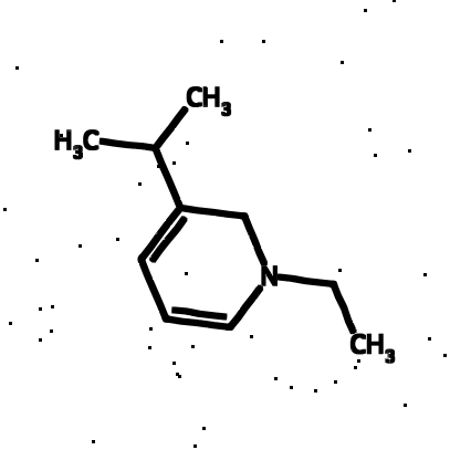 CCN1C=CC=C(C(C)C)C1